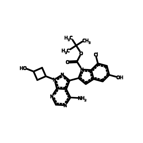 CC(C)(C)OC(=O)n1c(-c2nn(C3CC(O)C3)c3ncnc(N)c23)cc2cc(O)cc(Cl)c21